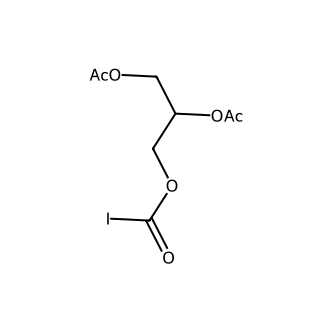 CC(=O)OCC(COC(=O)I)OC(C)=O